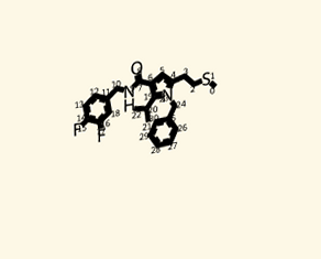 CSCCc1cc(C(=O)NCc2ccc(F)c(F)c2)c(C(C)C)n1Cc1ccccc1